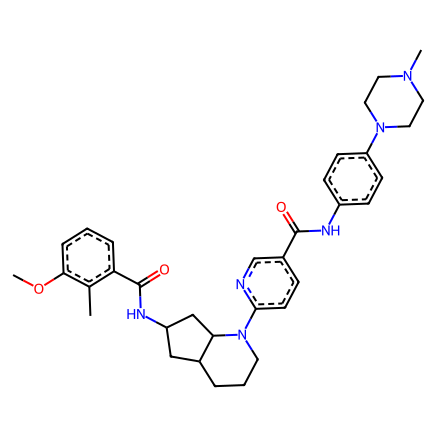 COc1cccc(C(=O)NC2CC3CCCN(c4ccc(C(=O)Nc5ccc(N6CCN(C)CC6)cc5)cn4)C3C2)c1C